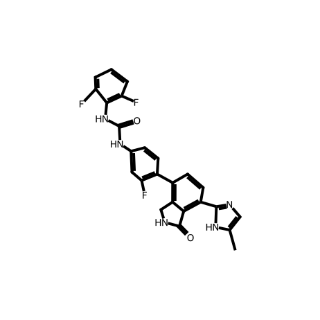 Cc1cnc(-c2ccc(-c3ccc(NC(=O)Nc4c(F)cccc4F)cc3F)c3c2C(=O)NC3)[nH]1